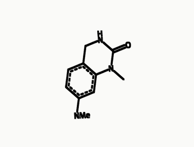 CNc1ccc2c(c1)N(C)C(=O)NC2